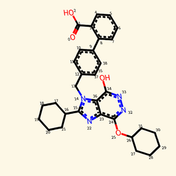 O=C(O)c1ccccc1-c1ccc(Cn2c(C3CCCCC3)nc3c(OC4CCCCC4)nnc(O)c32)cc1